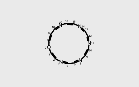 C1=COC=CN=CC=NC=CN=CC=NC=CN=C1